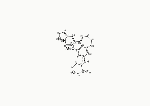 COc1nc(NC2CCOC[C@@H]2F)nc2c1C(c1ccn3nccc3c1)=CCCC2